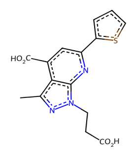 Cc1nn(CCC(=O)O)c2nc(-c3cccs3)cc(C(=O)O)c12